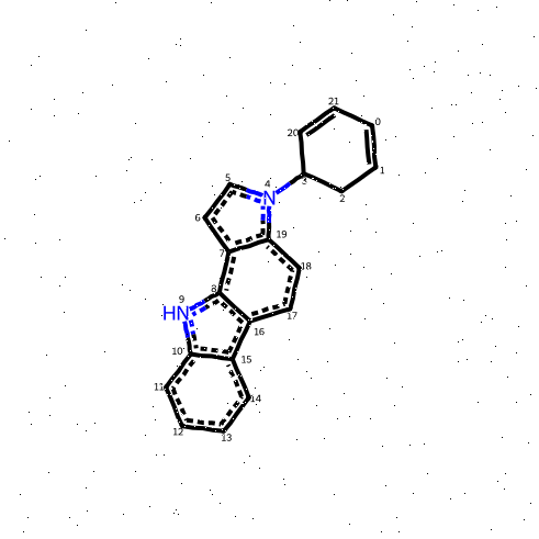 C1=CCC(n2ccc3c4[nH]c5ccccc5c4ccc32)C=C1